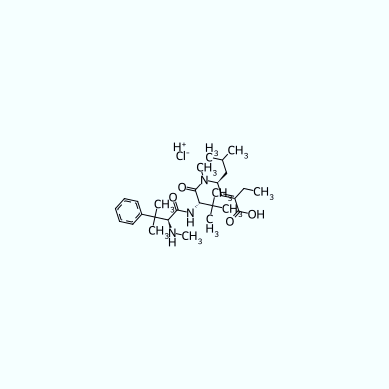 CC/C(=C\[C@H](CC(C)C)N(C)C(=O)[C@@H](NC(=O)[C@@H](NC)C(C)(C)c1ccccc1)C(C)(C)C)C(=O)O.[Cl-].[H+]